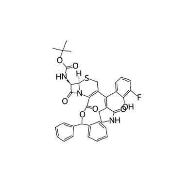 CC(C)(C)OC(=O)N[C@@H]1C(=O)N2C(C(=O)OC(c3ccccc3)c3ccccc3)=C(C(=C3CCNC3=O)c3cccc(F)c3O)CS[C@H]12